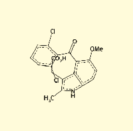 COc1ccc2[nH]c(C)c(CC(=O)O)c2c1C(=O)c1c(Cl)cccc1Cl